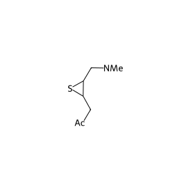 CNCC1SC1CC(C)=O